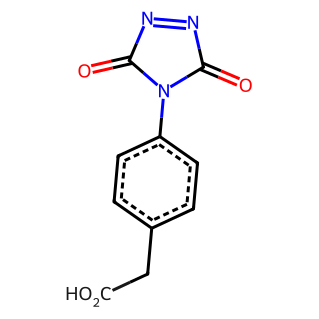 O=C(O)Cc1ccc(N2C(=O)N=NC2=O)cc1